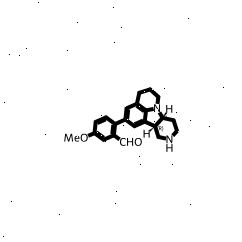 COc1ccc(-c2cc3c4c(c2)[C@@H]2CNCC[C@@H]2N4CCC3)c(C=O)c1